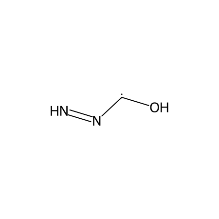 N=N[CH]O